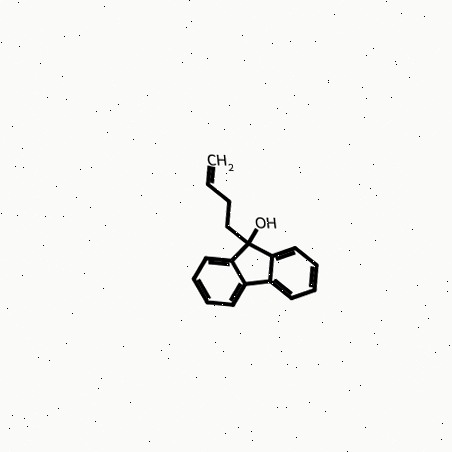 C=CCCC1(O)c2ccccc2-c2ccccc21